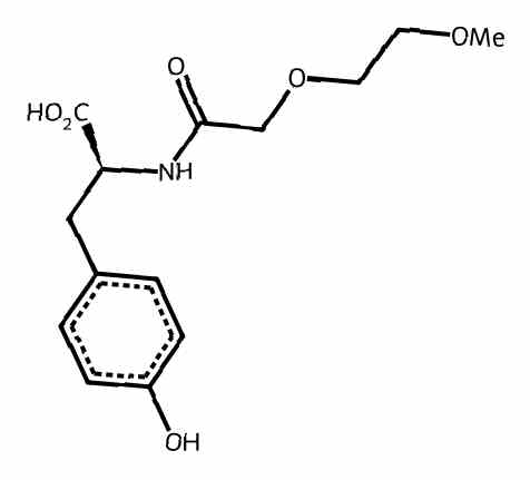 COCCOCC(=O)N[C@@H](Cc1ccc(O)cc1)C(=O)O